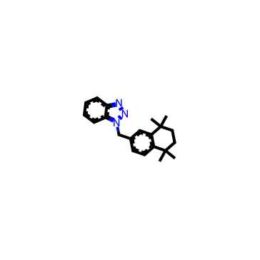 CC1(C)CCC(C)(C)c2cc(Cn3nnc4ccccc43)ccc21